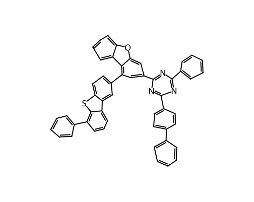 c1ccc(-c2ccc(-c3nc(-c4ccccc4)nc(-c4cc(-c5ccc6sc7c(-c8ccccc8)cccc7c6c5)c5c(c4)oc4ccccc45)n3)cc2)cc1